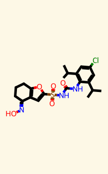 CC(C)c1cc(Cl)cc(C(C)C)c1NC(=O)NS(=O)(=O)c1cc2c(o1)CCC/C2=N\O